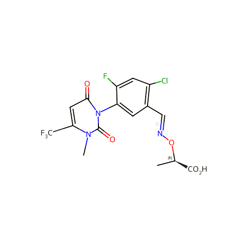 C[C@@H](O/N=C/c1cc(-n2c(=O)cc(C(F)(F)F)n(C)c2=O)c(F)cc1Cl)C(=O)O